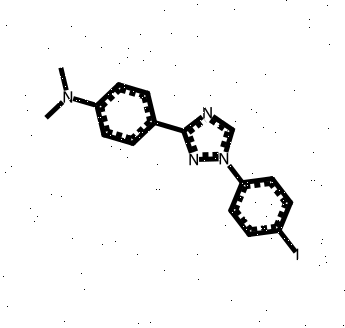 CN(C)c1ccc(-c2ncn(-c3ccc(I)cc3)n2)cc1